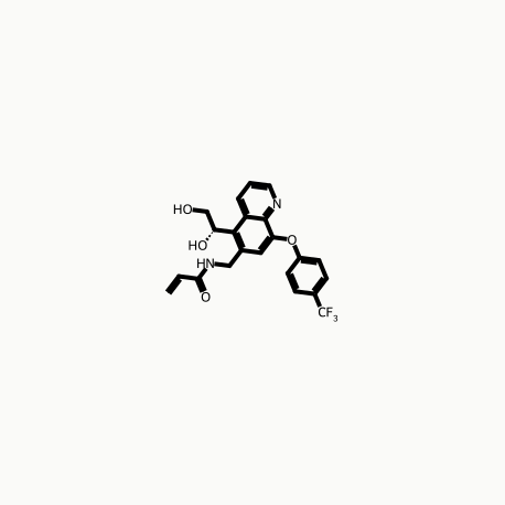 C=CC(=O)NCc1cc(Oc2ccc(C(F)(F)F)cc2)c2ncccc2c1[C@H](O)CO